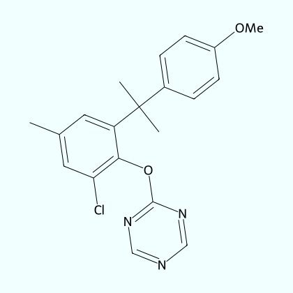 COc1ccc(C(C)(C)c2cc(C)cc(Cl)c2Oc2ncncn2)cc1